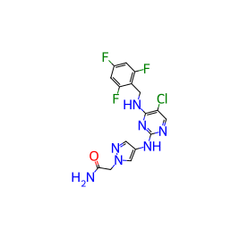 NC(=O)Cn1cc(Nc2ncc(Cl)c(NCc3c(F)cc(F)cc3F)n2)cn1